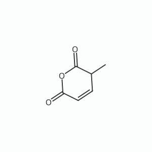 CC1C=CC(=O)OC1=O